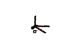 CCCCCCCCCCCCCCCC[N+](CCCCCCCCCCCC)(CCCCCCCCCCCCCC)C(C)(C)c1ccccc1.[Cl-]